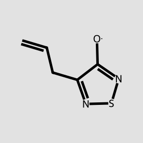 C=CCc1nsnc1[O]